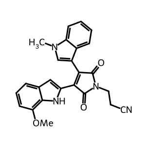 COc1cccc2cc(C3=C(c4cn(C)c5ccccc45)C(=O)N(CCC#N)C3=O)[nH]c12